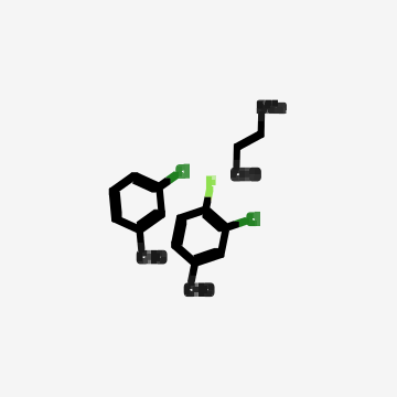 CSCCC=O.O=Cc1ccc(F)c(Cl)c1.O=Cc1cccc(Cl)c1